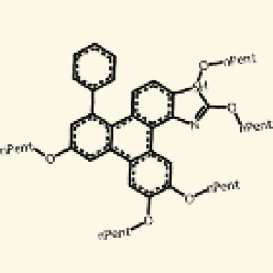 CCCCCOC1=Nc2c(ccc3c4c(-c5ccccc5)cc(OCCCCC)cc4c4cc(OCCCCC)c(OCCCCC)cc4c23)[SH]1OCCCCC